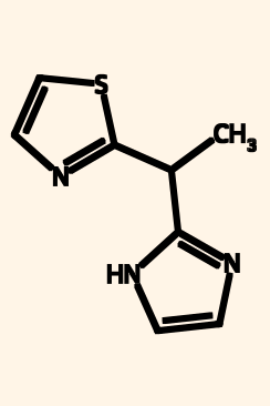 CC(c1ncc[nH]1)c1nccs1